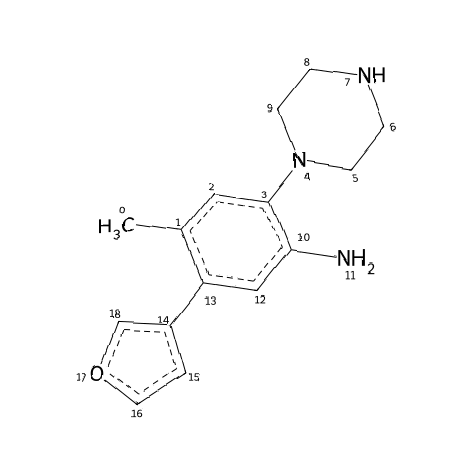 Cc1cc(N2CCNCC2)c(N)cc1-c1ccoc1